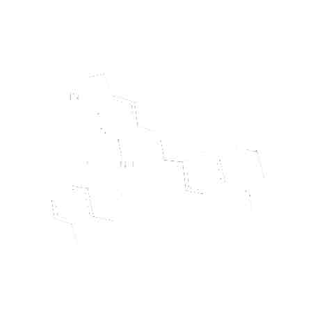 Cc1c(Cl)cccc1S(=O)(=O)Nc1nc2c(cc1OCc1ccc3c(c1)OCCN3C)CCN2